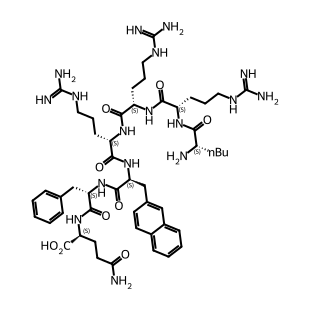 CCCC[C@H](N)C(=O)N[C@@H](CCCNC(=N)N)C(=O)N[C@@H](CCCNC(=N)N)C(=O)N[C@@H](CCCNC(=N)N)C(=O)N[C@@H](Cc1ccc2ccccc2c1)C(=O)N[C@@H](Cc1ccccc1)C(=O)N[C@@H](CCC(N)=O)C(=O)O